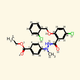 CCOC(=O)c1ccc(N(C)NC(=O)c2cc(Cl)ccc2OCc2ccccc2Cl)cc1